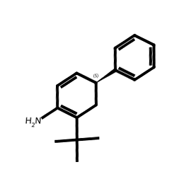 CC(C)(C)C1=C(N)C=C[C@@H](c2ccccc2)C1